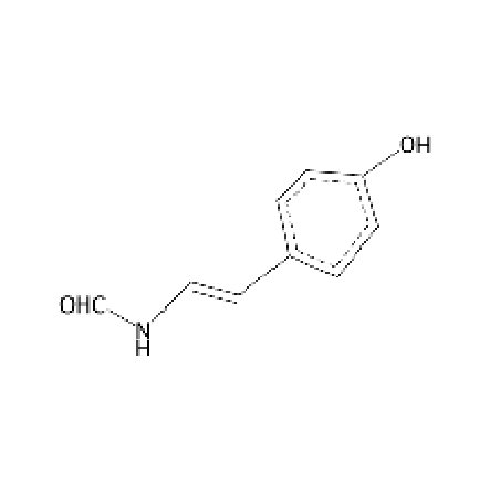 O=CNC=Cc1ccc(O)cc1